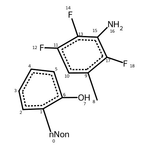 CCCCCCCCCc1ccccc1O.Cc1cc(F)c(F)c(N)c1F